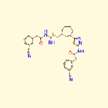 N#Cc1cccc(CC(=O)NC(=N)SCC2CCCCC(c3nnc(NC(=O)Cc4cccc(C#N)c4)s3)C2)c1